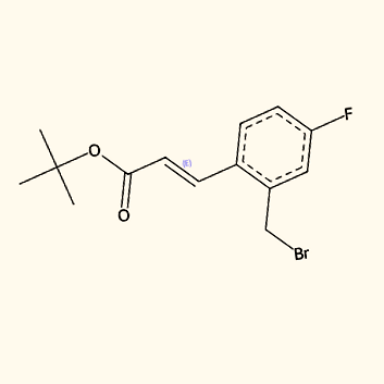 CC(C)(C)OC(=O)/C=C/c1ccc(F)cc1CBr